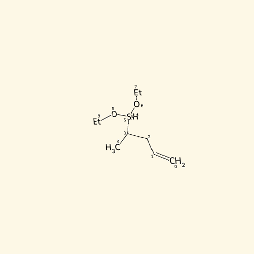 C=CCC(C)[SiH](OCC)OCC